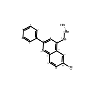 Br.CCCCNc1cc(-c2ccccc2)nc2ccc(O)cc12